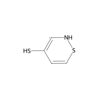 SC1=[C]NSC=C1